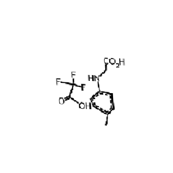 Cc1ccc(NCC(=O)O)cc1.O=C(O)C(F)(F)F